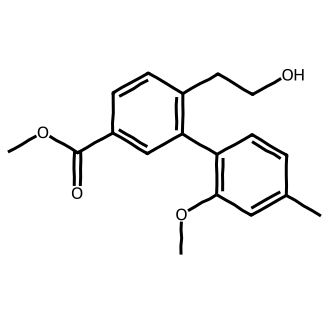 COC(=O)c1ccc(CCO)c(-c2ccc(C)cc2OC)c1